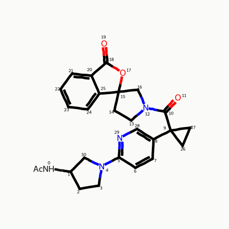 CC(=O)NC1CCN(c2ccc(C3(C(=O)N4CCC5(C4)OC(=O)c4ccccc45)CC3)cn2)C1